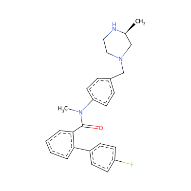 C[C@H]1CN(Cc2ccc(N(C)C(=O)c3ccccc3-c3ccc(F)cc3)cc2)CCN1